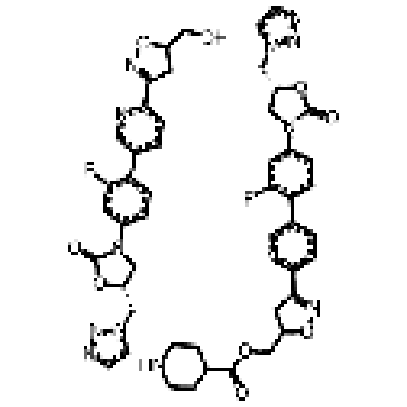 O=C(OCC1CC(c2ccc(-c3ccc(N4C[C@H](Cn5ccnn5)OC4=O)cc3F)cn2)=NO1)C1CCNCC1.O=C1O[C@@H](Cn2ccnn2)CN1c1ccc(-c2ccc(C3=NOC(CO)C3)nc2)c(F)c1